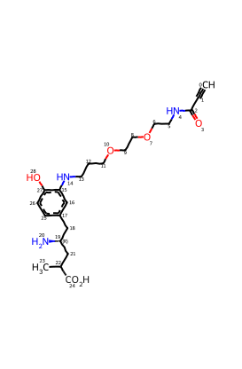 C#CC(=O)NCCOCCOCCCNc1cc(C[C@H](N)CC(C)C(=O)O)ccc1O